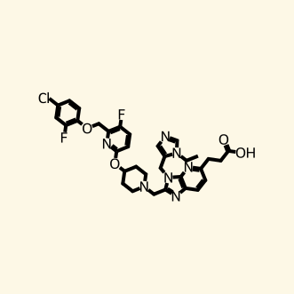 CCn1cncc1Cn1c(CN2CCC(Oc3ccc(F)c(COc4ccc(Cl)cc4F)n3)CC2)nc2ccc(CCC(=O)O)nc21